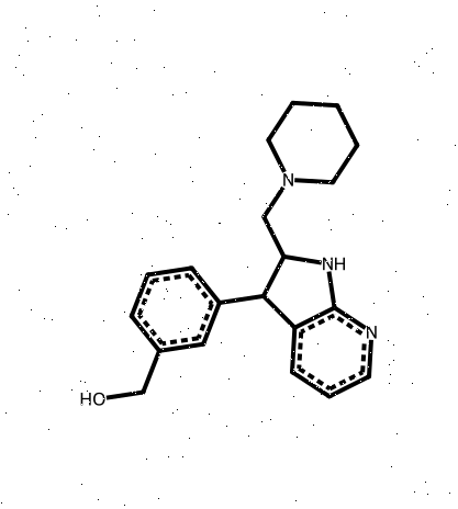 OCc1cccc(C2c3cccnc3NC2CN2CCCCC2)c1